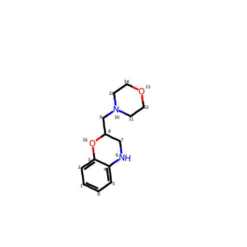 c1ccc2c(c1)NCC(CN1CCOCC1)O2